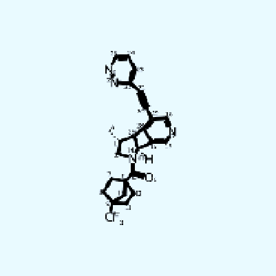 C[C@H]1CN(C(=O)C23CCC(C(F)(F)F)(CC2)C3)[C@@H]2c3cncc(C#Cc4cccnn4)c3C21